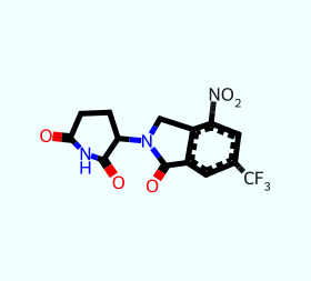 O=C1CCC(N2Cc3c(cc(C(F)(F)F)cc3[N+](=O)[O-])C2=O)C(=O)N1